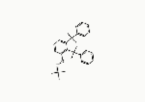 CC(C)(C)OOc1cccc(C(C)(C)c2ccccc2)c1C(C)(C)c1ccccc1